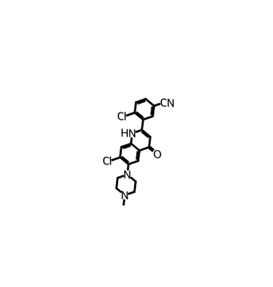 CN1CCN(c2cc3c(=O)cc(-c4cc(C#N)ccc4Cl)[nH]c3cc2Cl)CC1